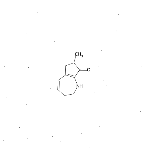 CC1CC2=C(NCCC=C2)C1=O